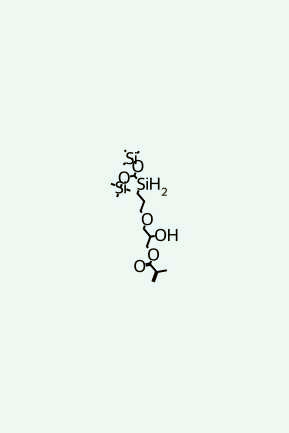 C=C(C)C(=O)OCC(O)COCCC[SiH2]C(O[Si](C)(C)C)O[Si](C)(C)C